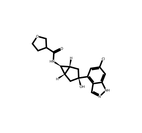 O=C(N[C@H]1[C@@H]2C[C@](O)(c3cc(Cl)cc4[nH]ncc34)C[C@@H]21)C1CCOC1